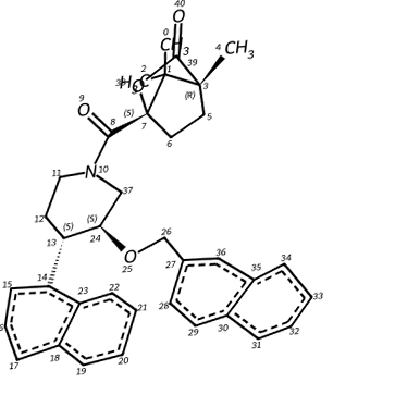 CC1(C)[C@@]2(C)CC[C@]1(C(=O)N1CC[C@@H](c3cccc4ccccc34)[C@H](OCc3ccc4ccccc4c3)C1)OC2=O